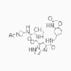 CC(=O)N1CC(NC(=O)[C@H](C)NC(=O)C2=CC(C(=O)NCc3ccc4c(c3)NC(=O)CO4)=NC3=CCNN32)C1